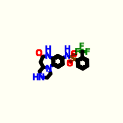 O=C1CC2CNCCN2c2ccc(NS(=O)(=O)c3ccccc3C(F)(F)F)cc2N1